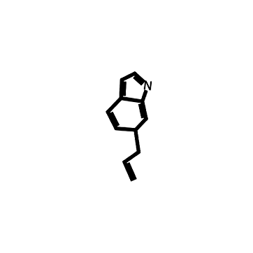 C=CCC1C=CC2=CC=NC2=C1